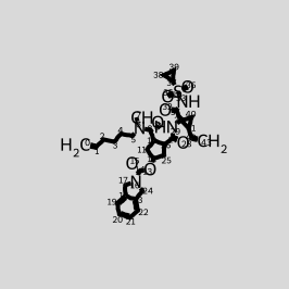 C=CCCCCN(C)C(=O)C1CC(OC(=O)N2Cc3ccccc3C2)CC1C(=O)NC1(C(=O)NS(=O)(=O)C2CC2)CC1C=C